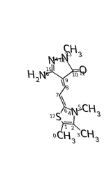 CC1=C(C)N(C)/C(=C\C=C2\C(=O)N(C)N=C2N)S1